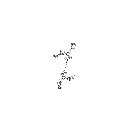 CC(=NNC=NN)c1cc(NC(=O)CCCCCCCCC(=O)Nc2cc(C(C)=NNC=NN)cc(C(C)=NNC=NN)c2)cc(C(C)=NNC=NN)c1